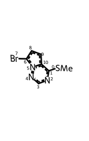 CSc1ncnn2c(Br)ccc12